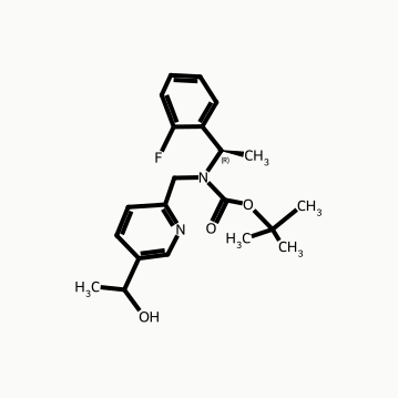 CC(O)c1ccc(CN(C(=O)OC(C)(C)C)[C@H](C)c2ccccc2F)nc1